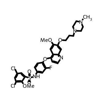 COc1cc2c(Oc3ccc(NS(=O)(=O)c4cc(Cl)cc(Cl)c4OC)cc3F)ccnc2cc1OCCCN1CCN(C)CC1